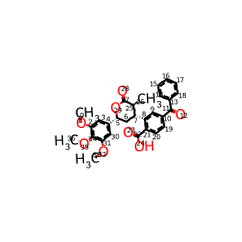 COc1cc([C@H]2C[C@@H](c3cc(C(=O)c4ccccc4)ccc3C(=O)O)[C@H](C)C(=O)O2)cc(OC)c1OC